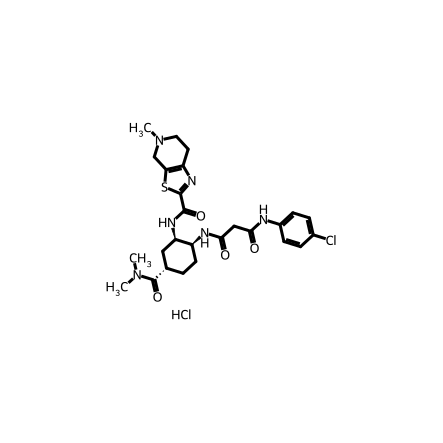 CN1CCc2nc(C(=O)N[C@@H]3C[C@@H](C(=O)N(C)C)CC[C@@H]3NC(=O)CC(=O)Nc3ccc(Cl)cc3)sc2C1.Cl